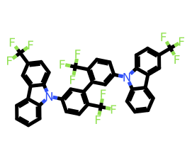 FC(F)(F)c1ccc2c(c1)c1ccccc1n2-c1ccc(C(F)(F)F)c(-c2cc(-n3c4ccccc4c4cc(C(F)(F)F)ccc43)ccc2C(F)(F)F)c1